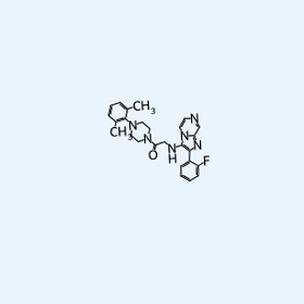 Cc1cccc(C)c1N1CCN(C(=O)CNc2c(-c3ccccc3F)nc3cnccn23)CC1